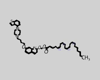 CCCCCC/C=C\C/C=C\C/C=C\C/C=C\CCCC(=O)OCOc1ccc2ccc(OCCCCN3CCN(c4cccc5sccc45)CC3)cc2n1